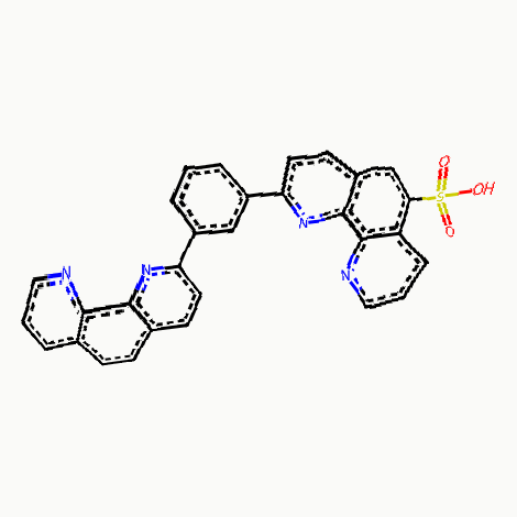 O=S(=O)(O)c1cc2ccc(-c3cccc(-c4ccc5ccc6cccnc6c5n4)c3)nc2c2ncccc12